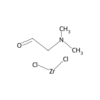 CN(C)CC=O.[Cl][Zr][Cl]